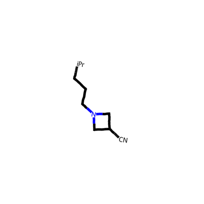 CC(C)CCCN1CC(C#N)C1